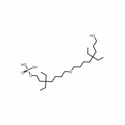 CCC(CC)(CCCO)CCCCOCCCCC(CC)(CC)CCOP(=O)(O)O